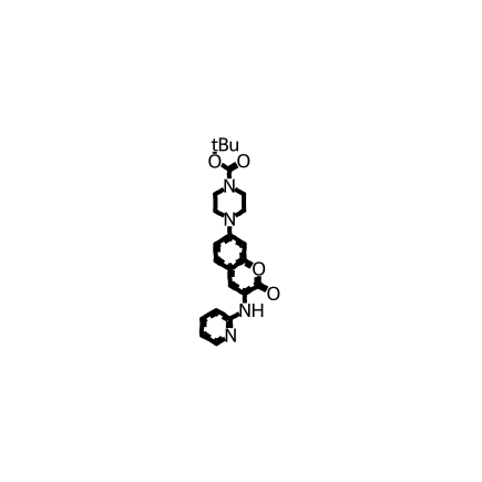 CC(C)(C)OC(=O)N1CCN(c2ccc3cc(Nc4ccccn4)c(=O)oc3c2)CC1